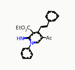 CCOC(=O)c1c(C=Cc2ccccc2)c(C(C)=O)cn(-c2ccccc2)c1=N